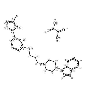 Cc1noc(-c2cccc(OCCCN3CCN(c4nsc5ccccc45)CC3)n2)n1.O=C(O)C(=O)O